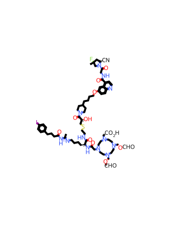 C/C(=N\CCCC[C@H](NC(=O)CN1CCN(COC=O)CCN(COC=O)CCN(CC(=O)O)CC1)C(=O)NCCSC[C@@H](O)C(=O)N1CCC(CCCCOc2ccc3nccc(C(=O)NCC(=O)N4CC(C)(F)C[C@@H]4C#N)c3c2)CC1)NC(=O)CCCc1ccc(I)cc1